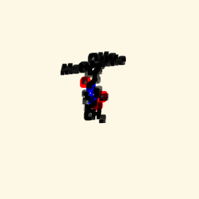 C=CC(=O)N1CCN(C(=O)Cc2cc(OC)c(OC)c(OC)c2)CC1=O